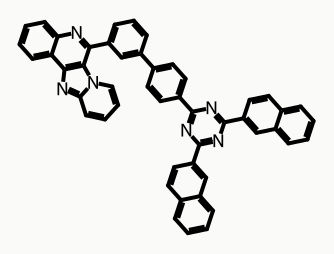 c1cc(-c2ccc(-c3nc(-c4ccc5ccccc5c4)nc(-c4ccc5ccccc5c4)n3)cc2)cc(-c2nc3ccccc3c3nc4ccccn4c23)c1